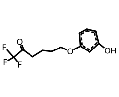 O=C(CCCCOc1cccc(O)c1)C(F)(F)F